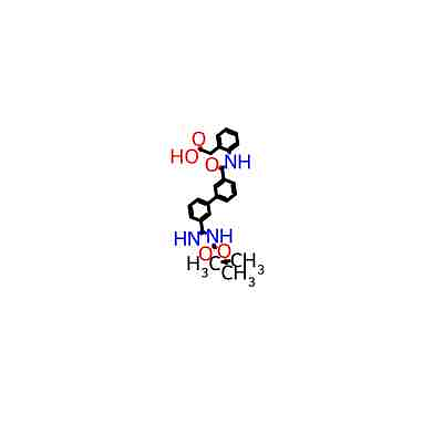 CC(C)(C)OC(=O)NC(=N)c1cccc(-c2cccc(C(=O)Nc3ccccc3CC(=O)O)c2)c1